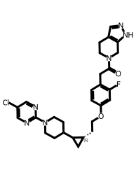 O=C(Cc1ccc(OCC[C@@H]2CC2C2CCN(c3ncc(Cl)cn3)CC2)cc1F)N1CCc2cn[nH]c2C1